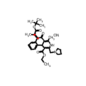 CCOC(=O)C1=C(C)NC(CN2CCCC2)=C(C(=O)OCC)C1c1ccccc1C=CC(=O)OC(C)(C)C.Cl